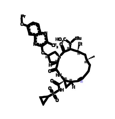 CC[C@@H]1C[C@H](C)CC/C=C\[C@@H]2C[C@@]2(C(=O)NS(=O)(=O)C2CC2)NC(=O)[C@@H]2C[C@@H](Oc3nc4cc(OC(C)C)ccc4nc3C(F)(F)F)CN2C(=O)[C@H]1N(C(=O)O)C(C)(C)C